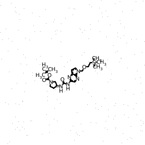 CC(C)(C)OC(=O)N1CC[C@H](NC(=O)Nc2cnc3c(ccn3COCC[Si](C)(C)C)n2)C1